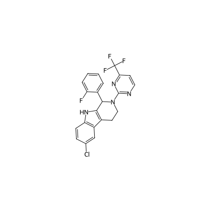 Fc1ccccc1C1c2[nH]c3ccc(Cl)cc3c2CCN1c1nccc(C(F)(F)F)n1